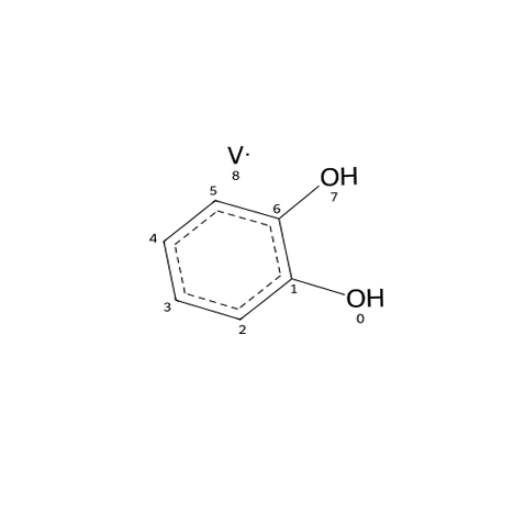 Oc1ccccc1O.[V]